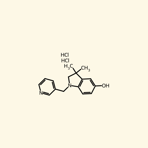 CC1(C)CN(Cc2cccnc2)c2ccc(O)cc21.Cl.Cl